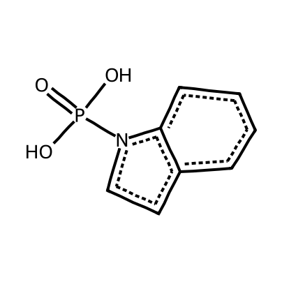 O=P(O)(O)n1ccc2ccccc21